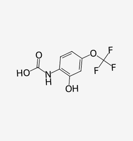 O=C(O)Nc1ccc(OC(F)(F)F)cc1O